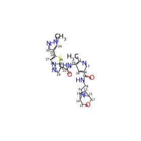 Cc1ncc(C(=O)NCCN2C3CCC2COC3)cc1NC(=O)c1cnn2cc(-c3cnn(C)c3)sc12